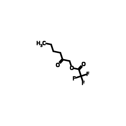 CCCCC(=O)COC(=O)C(F)(F)F